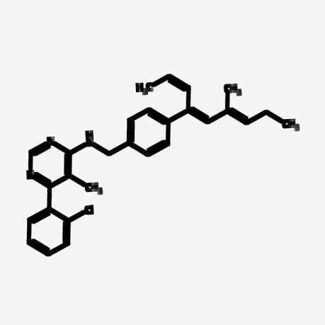 C\C=C/C(=C\C(C)=C\CC)c1ccc(CNc2ncnc(-c3ccccc3Cl)c2C)cc1